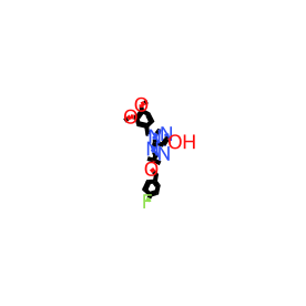 COc1ccc(Cn2cnc(O)c3nc(C(C)(C)OCc4ccc(F)cc4)nc2-3)cc1OC